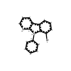 Brc1cccc2c3cccnc3n(-c3ccccc3)c12